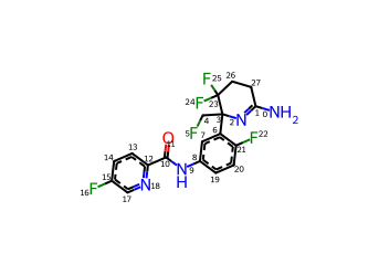 NC1=NC(CF)(c2cc(NC(=O)c3ccc(F)cn3)ccc2F)C(F)(F)CC1